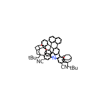 CC(C)(C)CC12CC3CC(CC(C3)c3c1c(C#N)cc1c3c3cc4c(c5c6c7c(c(C#N)cc6n1c35)C1(CC(C)(C)C)CC3CC5CC7CC53C1)C1(c3ccccc3-c3ccccc31)c1cccc3cccc-4c13)C2